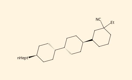 CCCCCCC[C@H]1CC[C@H]([C@H]2CC[C@H](C3CCCC(C#N)(CC)C3)CC2)CC1